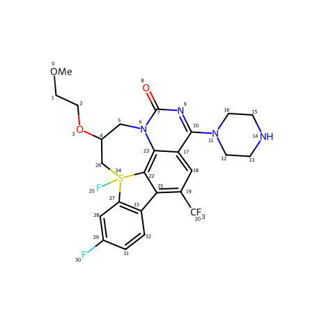 COCCOC1Cn2c(=O)nc(N3CCNCC3)c3cc(C(F)(F)F)c4c(c32)S(F)(C1)c1cc(F)ccc1-4